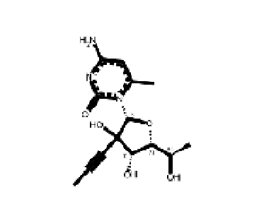 CC#CC1(O)[C@@H](O)[C@@H]([C@@H](C)O)O[C@H]1n1c(C)cc(N)nc1=O